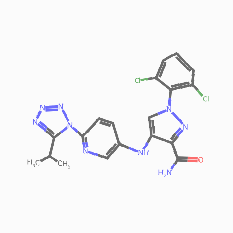 CC(C)c1nnnn1-c1ccc(Nc2cn(-c3c(Cl)cccc3Cl)nc2C(N)=O)cn1